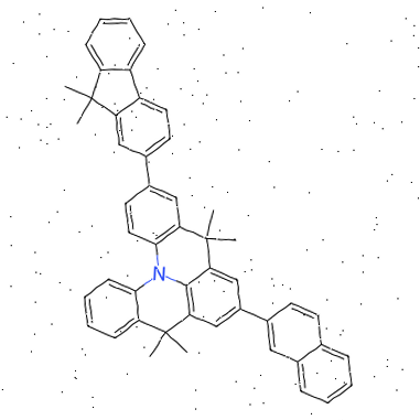 CC1(C)c2ccccc2-c2ccc(-c3ccc4c(c3)C(C)(C)c3cc(-c5ccc6ccccc6c5)cc5c3N4c3ccccc3C5(C)C)cc21